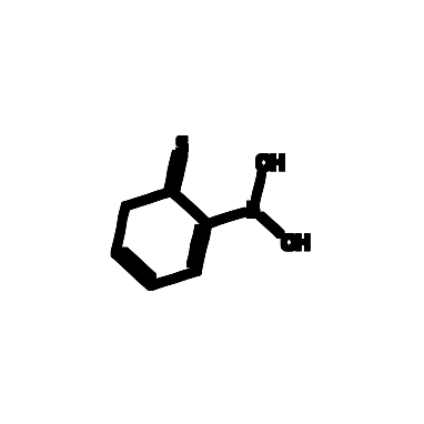 OB(O)C1=CC=CCC1=S